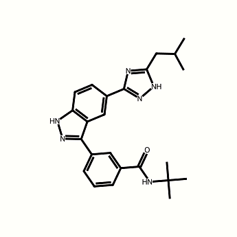 CC(C)Cc1nc(-c2ccc3[nH]nc(-c4cccc(C(=O)NC(C)(C)C)c4)c3c2)n[nH]1